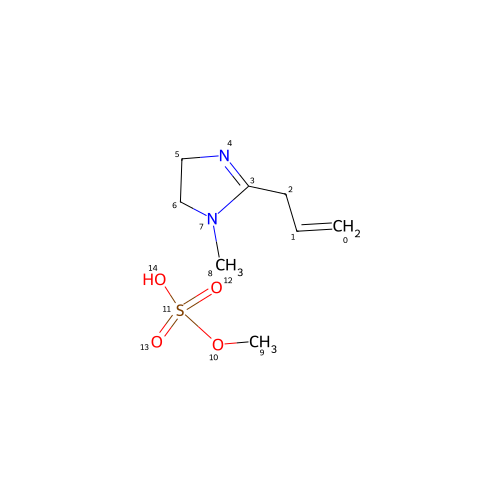 C=CCC1=NCCN1C.COS(=O)(=O)O